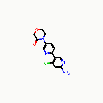 Nc1cc(Cl)c(-c2ccc(N3CCOCC3=O)cn2)cn1